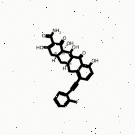 NC(=O)C1=C(O)C[C@@H]2C[C@@H]3Cc4c(C#Cc5ccccc5F)ccc(O)c4C(=O)C3=C(O)[C@]2(O)C1=O